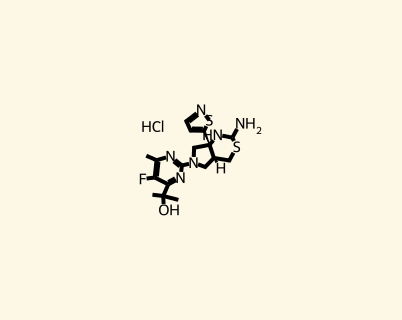 Cc1nc(N2C[C@H]3CSC(N)N[C@@]3(c3ccns3)C2)nc(C(C)(C)O)c1F.Cl